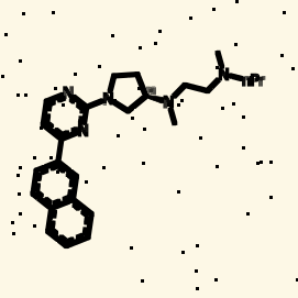 CCCN(C)CCN(C)[C@@H]1CCN(c2nccc(-c3ccc4ccccc4c3)n2)C1